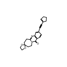 O=c1c2ccc(C#CC3=CCCC3)cc2nc2n1CCC1(CC2)OCCO1